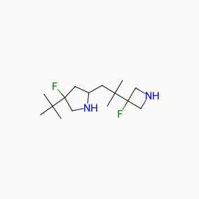 CC(C)(C)C1(F)CNC(CC(C)(C)C2(F)CNC2)C1